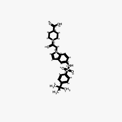 CC(C)(C)c1ccc(S(=O)(=O)Nc2ccc3c(ccn3CC(=O)N3CCC(C(=O)O)CC3)c2)cc1